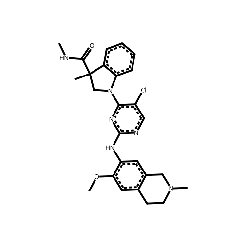 CNC(=O)C1(C)CN(c2nc(Nc3cc4c(cc3OC)CCN(C)C4)ncc2Cl)c2ccccc21